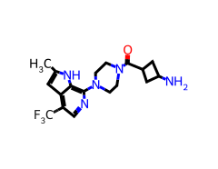 Cc1cc2c(C(F)(F)F)cnc(N3CCN(C(=O)C4CC(N)C4)CC3)c2[nH]1